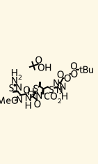 C=C1S[C@@H]2[C@H](NC(=O)C(=NOC)c3csc(N)n3)C(=O)N2C(C(=O)O)=C1CSc1nc(C(=O)OCOC(=O)C(C)(C)C)nn1C.CC(C)(C)C(=O)O